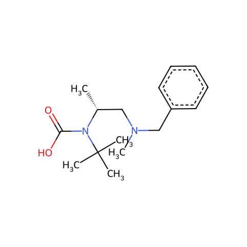 C[C@H](CN(C)Cc1ccccc1)N(C(=O)O)C(C)(C)C